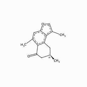 Cc1cc2occ(C)c2c2c1C(=O)C[C@H](C)C2